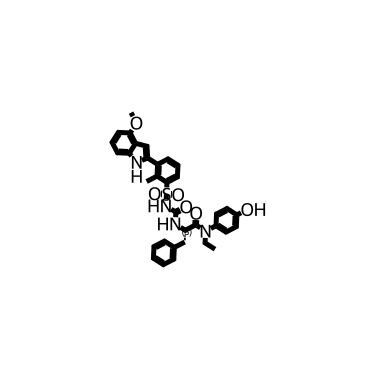 CCN(C(=O)[C@H](Cc1ccccc1)NC(=O)NS(=O)(=O)c1cccc(-c2cc3c(OC)cccc3[nH]2)c1C)c1ccc(O)cc1